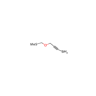 CSCOCC#C[SiH3]